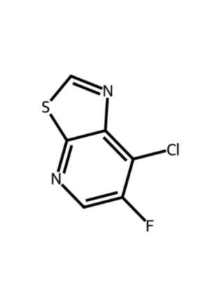 Fc1cnc2scnc2c1Cl